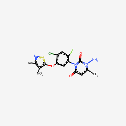 Cc1nsc(Oc2cc(-n3c(=O)cc(C(F)(F)F)n(N)c3=O)c(F)cc2Cl)c1[N+](=O)[O-]